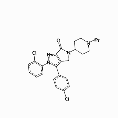 CC(C)N1CCC(N2Cc3c(nn(-c4ccccc4Cl)c3-c3ccc(Cl)cc3)C2=O)CC1